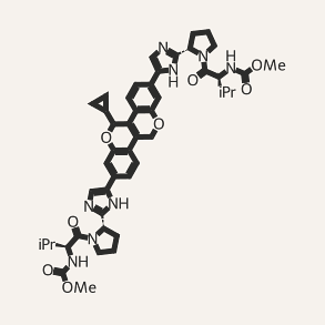 COC(=O)N[C@H](C(=O)N1CCC[C@H]1c1ncc(-c2ccc3c(c2)OC(C2CC2)C2=C3COc3cc(-c4cnc([C@@H]5CCCN5C(=O)[C@@H](NC(=O)OC)C(C)C)[nH]4)ccc32)[nH]1)C(C)C